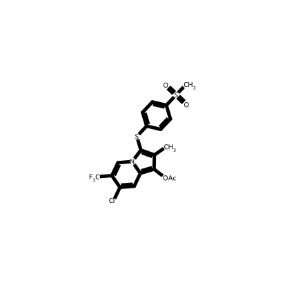 CC(=O)Oc1c(C)c(Sc2ccc(S(C)(=O)=O)cc2)n2cc(C(F)(F)F)c(Cl)cc12